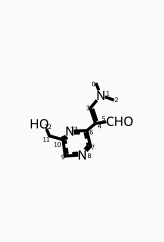 CN(C)C=C(C=O)c1cncc(CO)n1